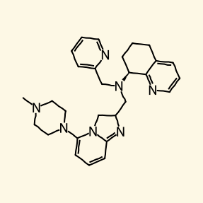 CN1CCN(C2=CC=CC3=NC(CN(Cc4ccccn4)[C@H]4CCCc5cccnc54)CN23)CC1